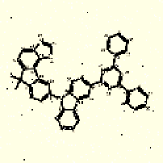 CC1(C)c2ccc(-n3c4ccccc4c4cc(-c5nc(-c6ccccc6)nc(-c6ccccc6)n5)ccc43)cc2-c2c1ccc1ncoc21